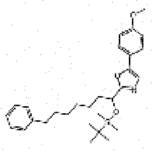 COc1ccc(-c2cnc(C(CCCCCCc3ccccc3)O[Si](C)(C)C(C)(C)C)o2)cc1